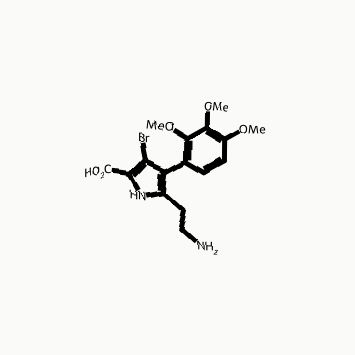 COc1ccc(-c2c(CCN)[nH]c(C(=O)O)c2Br)c(OC)c1OC